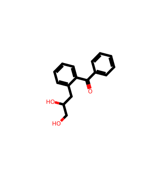 O=C(c1ccccc1)c1ccccc1CC(O)CO